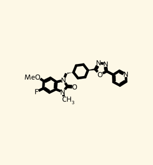 COc1cc2c(cc1F)n(C)c(=O)n2C[C@H]1CC[C@H](c2nnc(-c3cccnc3)o2)CC1